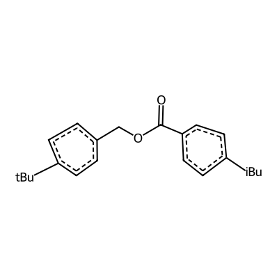 CCC(C)c1ccc(C(=O)OCc2ccc(C(C)(C)C)cc2)cc1